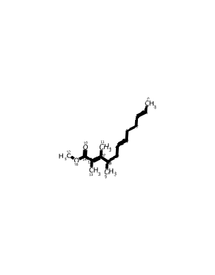 C/C=C/CC/C=C/CC(C)/C(C)=C(\C)C(=O)OC